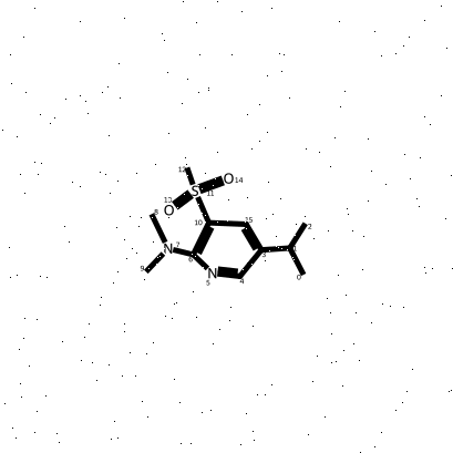 CC(C)c1cnc(N(C)C)c(S(C)(=O)=O)c1